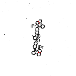 Cc1cc2c3cc4ccc(N(c5ccccc5-c5ccccc5)c5ccccc5C(C)C)cc4cc3oc2c2oc3cc4cc(N(c5ccccc5-c5ccccc5)c5ccccc5C(C)C)ccc4cc3c12